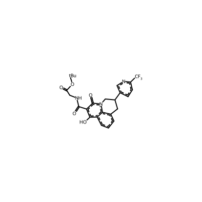 CC(C)(C)OC(=O)CNC(=O)c1c(O)c2cccc3c2n(c1=O)CC(c1ccc(C(F)(F)F)nc1)C3